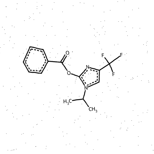 CC(C)n1cc(C(F)(F)F)nc1OC(=O)c1ccccc1